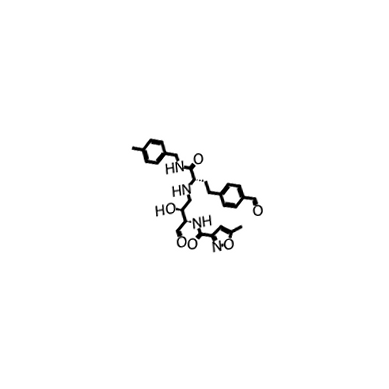 Cc1ccc(CNC(=O)[C@H](CCc2ccc(C=O)cc2)NC[C@H](O)[C@@H](C=O)NC(=O)c2cc(C)on2)cc1